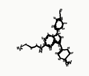 CCCCNc1ncc2c(n1)c(C1=CCC(O)CC1)cn2-c1ccc(F)cc1